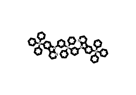 c1ccc([Si](c2ccccc2)(c2cccc(-n3c4ccc([Si](c5ccccc5)(c5ccccc5)c5ccccc5)cc4c4cccnc43)c2)c2cccc(-n3c4ccc([Si](c5ccccc5)(c5ccccc5)c5ccccc5)cc4c4cccnc43)c2)cc1